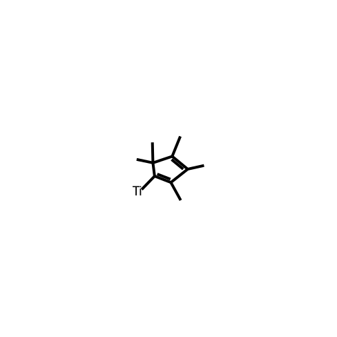 CC1=C(C)C(C)(C)[C]([Ti])=C1C